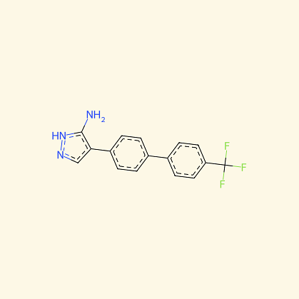 Nc1[nH]ncc1-c1ccc(-c2ccc(C(F)(F)F)cc2)cc1